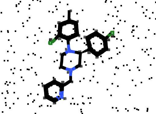 Cc1ccc(N2CCN(Cc3ccccn3)C[C@H]2c2ccc(Cl)cc2)c(Cl)c1